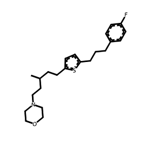 CC(CCc1ccc(CCCc2ccc(F)cc2)s1)CCN1CCOCC1